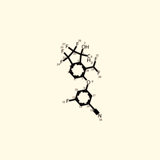 CC1(O)c2c(ccc(Oc3cc(F)cc(C#N)c3)c2C(F)F)C(F)(F)C1(F)F